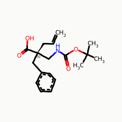 C=CC[C@@](CNC(=O)OC(C)(C)C)(Cc1ccccc1)C(=O)O